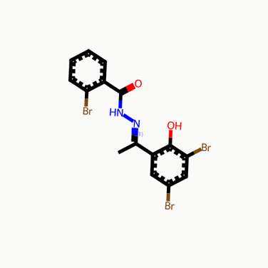 C/C(=N\NC(=O)c1ccccc1Br)c1cc(Br)cc(Br)c1O